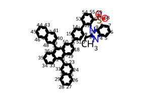 CCc1nc2cccc3c2n1-c1c(-c2ccc(-c4ccc5c(-c6ccc7ccccc7c6)c6ccccc6c(-c6ccc7ccccc7c6)c5c4)cc2)cccc1S3(=O)=O